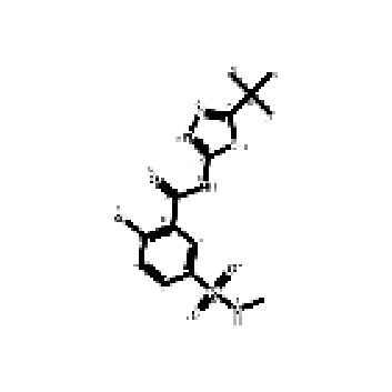 CNS(=O)(=O)c1ccc(Br)c(C(=O)Nc2nnc(C(C)(C)C)s2)c1